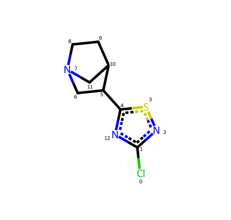 Clc1nsc(C2CN3CCC2C3)n1